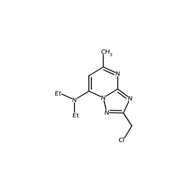 CCN(CC)c1cc(C)nc2nc(CCl)nn12